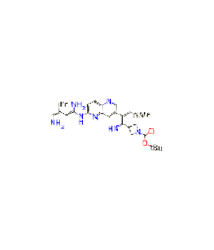 CN/C=C(\C(=N)C1CN(C(=O)OC(C)(C)C)C1)c1cnc2ccc(N/C(N)=C/C(=C\N)C(C)C)nc2c1